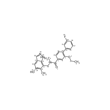 CCOc1cc(C(=O)N(C)Cc2c(C)[n+](O)cc3cn[nH]c23)ccc1-c1cccc(F)c1